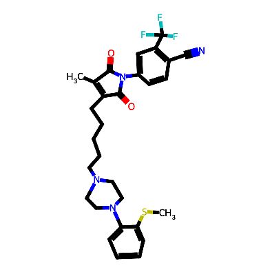 CSc1ccccc1N1CCN(CCCCCC2=C(C)C(=O)N(c3ccc(C#N)c(C(F)(F)F)c3)C2=O)CC1